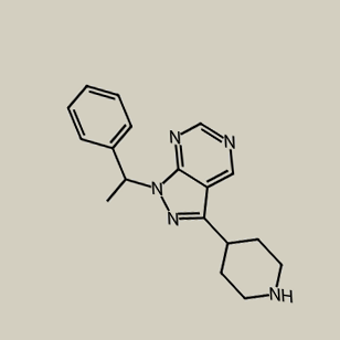 CC(c1ccccc1)n1nc(C2CCNCC2)c2cncnc21